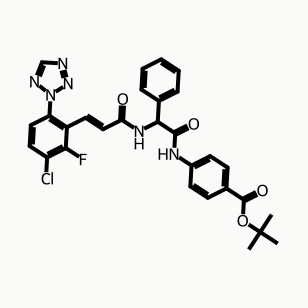 CC(C)(C)OC(=O)c1ccc(NC(=O)C(NC(=O)C=Cc2c(-n3ncnn3)ccc(Cl)c2F)c2ccccc2)cc1